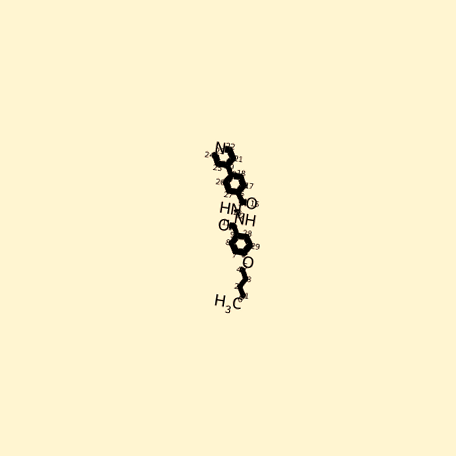 CCCCCOc1ccc(C(=O)NNC(=O)c2ccc(-c3ccncc3)cc2)cc1